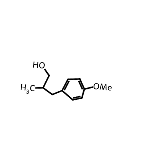 COc1ccc(CC(C)CO)cc1